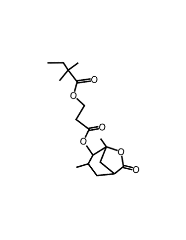 CCC(C)(C)C(=O)OCCC(=O)OC1C(C)CC2CC1(C)OC2=O